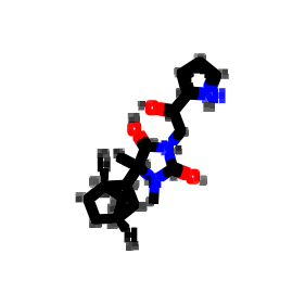 CN1C(=O)N(CC(=O)c2ccc[nH]2)C(=O)C1(C)C1C[C@@H]2CC[C@H]1C2